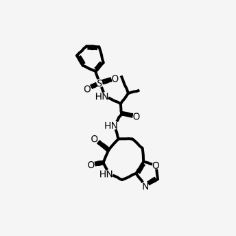 CC(C)C(NS(=O)(=O)c1ccccc1)C(=O)NC1CCc2ocnc2CNC(=O)C1=O